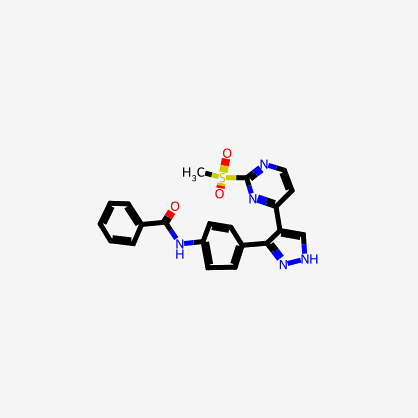 CS(=O)(=O)c1nccc(-c2c[nH]nc2-c2ccc(NC(=O)c3ccccc3)cc2)n1